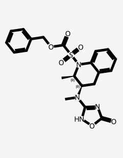 C[C@@H]1[C@H](N(C)c2nc(=O)o[nH]2)Cc2ccccc2N1S(=O)(=O)C(=O)OCc1ccccc1